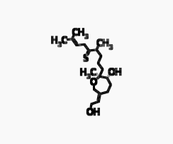 CC(C)=CCC(=S)C(C)CCC[C@]1(C)OCC(=CCO)CC[C@H]1O